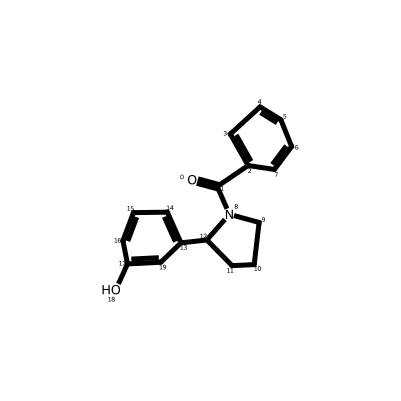 O=C(c1ccccc1)N1CCCC1c1cccc(O)c1